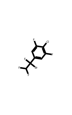 Fc1cc(C(F)(Br)C(F)F)cc(F)c1Cl